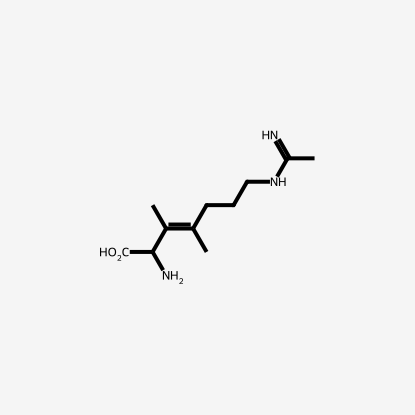 CC(=N)NCCC/C(C)=C(\C)C(N)C(=O)O